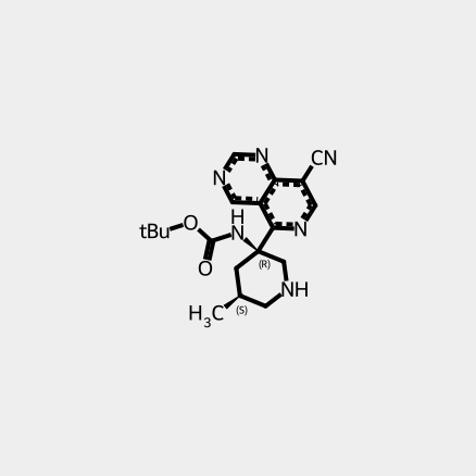 C[C@@H]1CNC[C@@](NC(=O)OC(C)(C)C)(c2ncc(C#N)c3ncncc23)C1